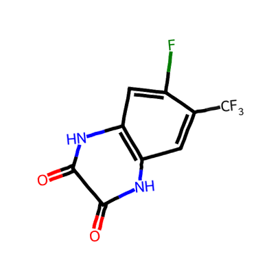 O=c1[nH]c2cc(F)c(C(F)(F)F)cc2[nH]c1=O